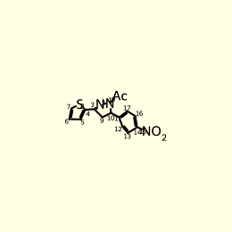 CC(=O)N1N=C(c2cccs2)CC1c1ccc([N+](=O)[O-])cc1